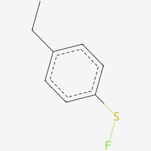 CCc1ccc(SF)cc1